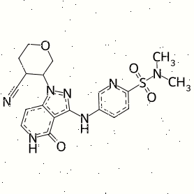 CN(C)S(=O)(=O)c1ccc(Nc2nn(C3COCCC3C#N)c3cc[nH]c(=O)c23)cn1